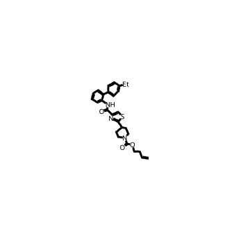 C=CCCOC(=O)N1CCC(c2nc(C(=O)Nc3ccccc3-c3ccc(CC)cc3)cs2)CC1